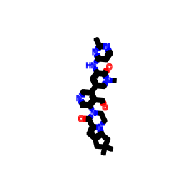 Cc1nccc(Nc2cc(-c3cncc(N4CCn5c(cc6c5CC(C)(C)C6)C4=O)c3C=O)cn(C)c2=O)n1